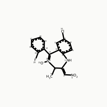 CC1C(=C[N+](=O)[O-])Nc2ccc(Cl)cc2C(c2ccccc2F)=[N+]1[O-]